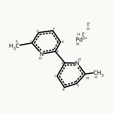 Cc1cccc(-c2cccc(C)n2)n1.[I-].[I-].[Pd+2]